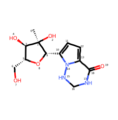 C[C@@]1(O)[C@H](O)[C@@H](CO)O[C@H]1c1ccc2n1NCNC2=O